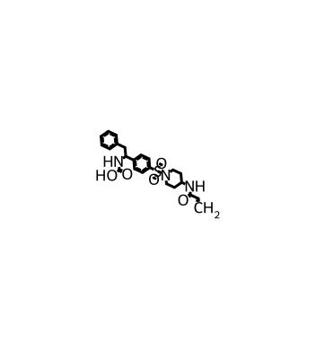 C=CC(=O)NC1CCN(S(=O)(=O)c2ccc(C(Cc3ccccc3)NC(=O)O)cc2)CC1